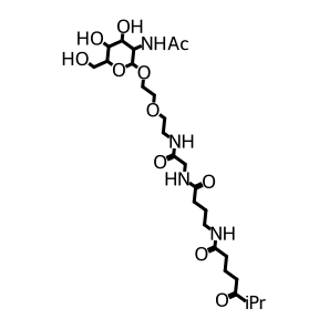 CC(=O)NC1C(OCCOCCNC(=O)CNC(=O)CCCNC(=O)CCCC(=O)C(C)C)OC(CO)C(O)C1O